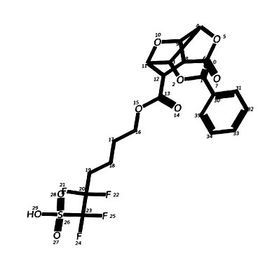 O=C(OC1C2OC(=O)C3C2OC1C3C(=O)OCCCCC(F)(F)C(F)(F)S(=O)(=O)O)c1ccccc1